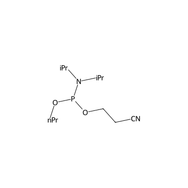 [CH2][CH]COP(OCCC#N)N(C(C)C)C(C)C